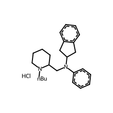 CCCCN1CCCCC1CN(c1ccccc1)C1Cc2ccccc2C1.Cl